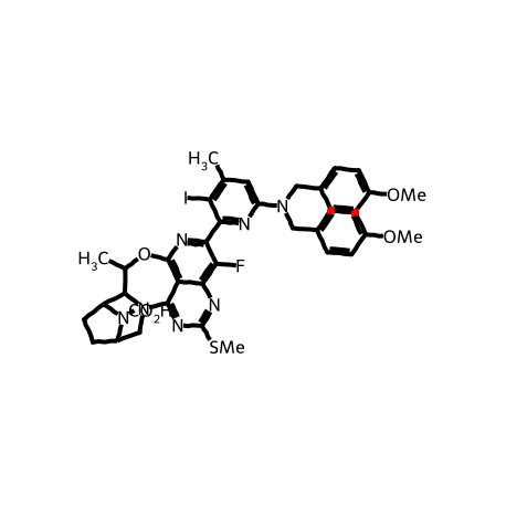 COc1ccc(CN(Cc2ccc(OC)cc2)c2cc(C)c(I)c(-c3nc4c5c(nc(SC)nc5c3F)N3CC5CCC(C3C(C)O4)N5C(=O)O)n2)cc1